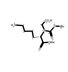 COC(=O)[C@H](CCCCN)N(CC(=O)O)C(=O)OC(C)(C)C